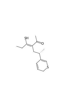 CC/C(S)=C(\C[C@H](C)C1=CSCC=C1)C(C)=O